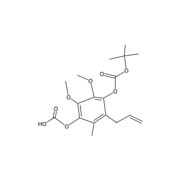 C=CCc1c(C)c(OC(=O)O)c(OC)c(OC)c1OC(=O)OC(C)(C)C